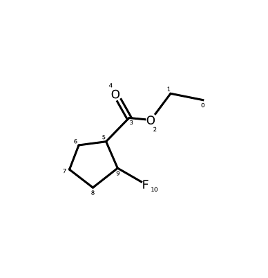 CCOC(=O)C1CCCC1F